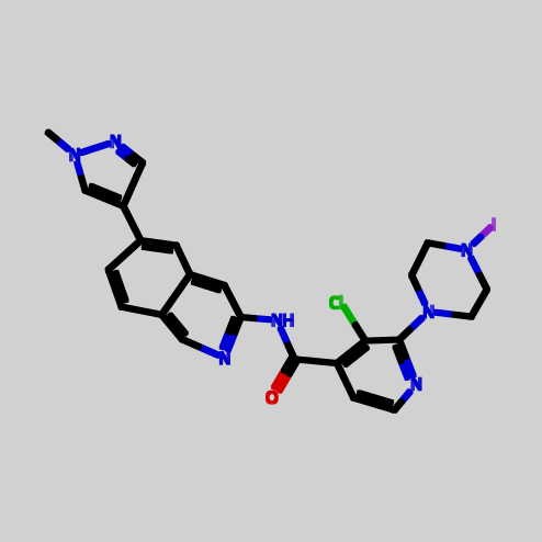 Cn1cc(-c2ccc3cnc(NC(=O)c4ccnc(N5CCN(I)CC5)c4Cl)cc3c2)cn1